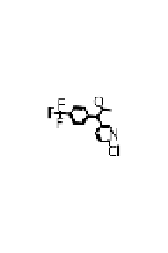 CC(=O)C(c1ccc(C(F)(F)F)cc1)c1ccc(Cl)nc1